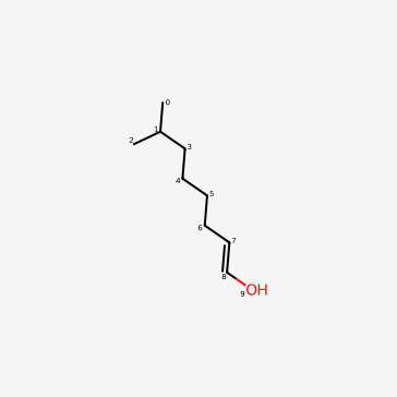 CC(C)CCCCC=CO